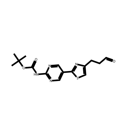 CC(C)(C)OC(=O)Nc1ncc(-c2nc(CCC=O)cs2)cn1